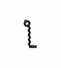 CCCCCCCCCCCCCCCCN1CCOCC1